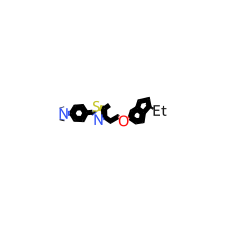 CC[C@@H]1CCc2cc(OCCc3nc(-c4ccc(N(C)C)cc4)sc3C)ccc21